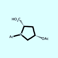 CC(=O)O[C@H]1C[C@@H](C(=O)O)N(C(C)=O)C1